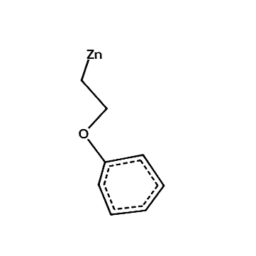 [Zn][CH2]COc1ccccc1